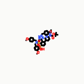 COc1ccc(CN(Cc2ccc(OC)cc2)S(=O)(=O)c2c(S(=O)O)ccc(-c3ccc(NC(=O)OC(C)(C)C)nc3)c2-c2nnn(Cc3ccc(OC)cc3)n2)cc1